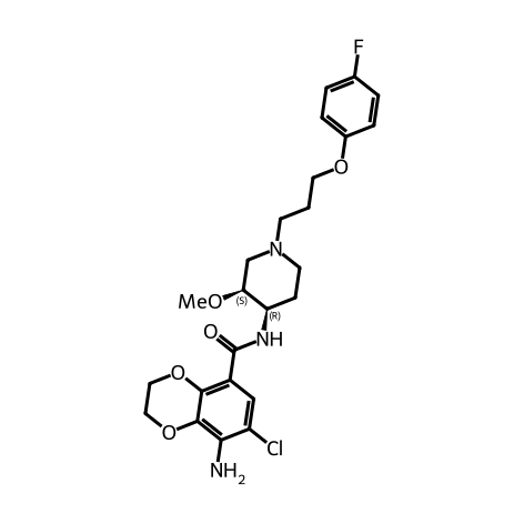 CO[C@H]1CN(CCCOc2ccc(F)cc2)CC[C@H]1NC(=O)c1cc(Cl)c(N)c2c1OCCO2